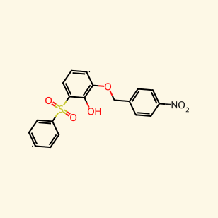 O=[N+]([O-])c1ccc(COc2[c]ccc(S(=O)(=O)c3cc[c]cc3)c2O)cc1